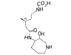 C[C@@H](CCNC(=O)O)CC(=O)NC1CCCNCC1O